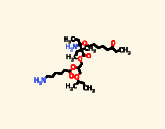 CCC(=O)CCCCCOC(N)(CC)C(C)(CC)C(=O)OCC(COC(C)CC)OC(=O)CCCCCN